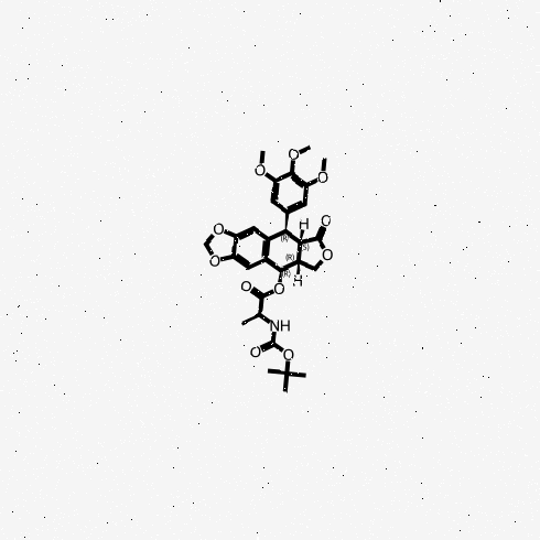 COc1cc([C@@H]2c3cc4c(cc3[C@H](OC(=O)C(C)NC(=O)OC(C)(C)C)[C@H]3COC(=O)[C@@H]23)OCO4)cc(OC)c1OC